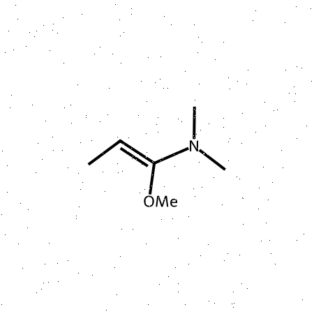 C/C=C(\OC)N(C)C